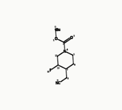 CC(C)(C)OC(=O)N1CCC(CC#N)C(F)C1